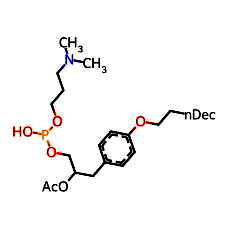 CCCCCCCCCCCCOc1ccc(CC(COP(O)OCCCN(C)C)OC(C)=O)cc1